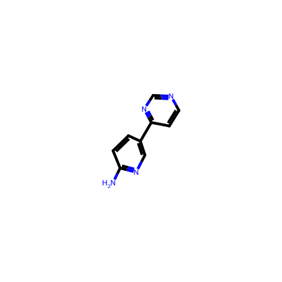 Nc1ccc(-c2ccncn2)cn1